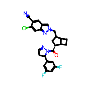 N#Cc1cc2cn(CC3C[C@H](C(=O)N4N=CCC4c4cc(F)cc(F)c4)C4CCC34)nc2cc1Cl